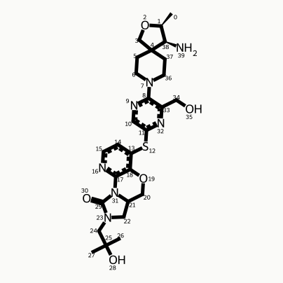 C[C@@H]1OCC2(CCN(c3ncc(Sc4ccnc5c4OCC4CN(CC(C)(C)O)C(=O)N54)nc3CO)CC2)[C@@H]1N